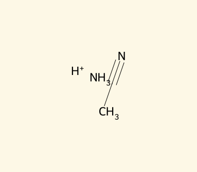 CC#N.N.[H+]